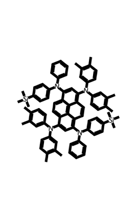 Cc1ccc(N(c2ccc(C)c(C)c2)c2cc(N(c3ccccc3)c3ccc([Si](C)(C)C)cc3)c3ccc4c(N(c5ccc(C)c(C)c5)c5ccc(C)c(C)c5)cc(N(c5ccccc5)c5ccc([Si](C)(C)C)cc5)c5ccc2c3c54)cc1C